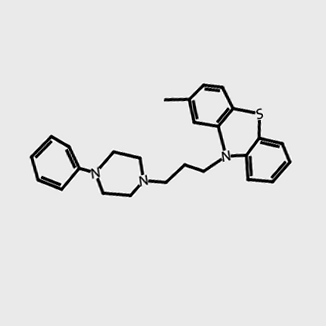 Cc1ccc2c(c1)N(CCCN1CCN(c3ccccc3)CC1)c1ccccc1S2